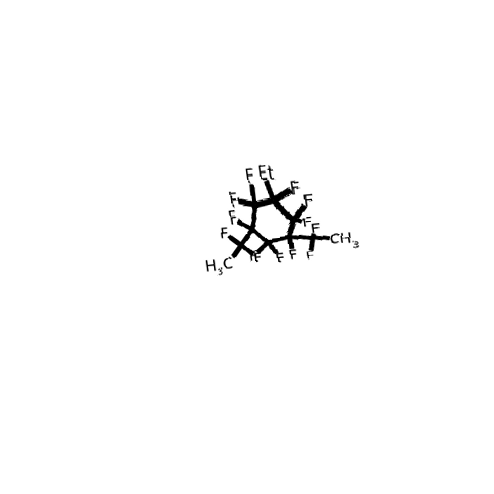 CCC1(F)C(F)(F)C(F)(C(C)(F)F)C(F)(F)C(F)(C(C)(F)F)C1(F)F